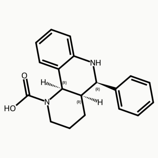 O=C(O)N1CCC[C@@H]2[C@H](c3ccccc3)Nc3ccccc3[C@@H]21